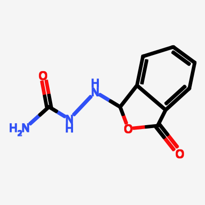 NC(=O)NNC1OC(=O)c2ccccc21